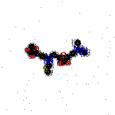 c1ccc(-c2nc(-c3ccc(-c4ccc5c(c4)Oc4cc(-c6cccc(-c7nc(-c8ccc(-c9ccc%10c(c9)Oc9ccccc9C%109c%10ccccc%10-c%10ccccc%109)cc8)nc(-c8ccc9c(c8)sc8ccccc89)n7)c6)ccc4C54c5ccccc5-c5ccccc54)cc3)nc(-c3ccccn3)n2)cc1